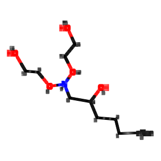 CCCCCCCCCCCCC(O)CN(OCCO)OCCO